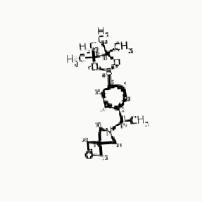 C[C@H](c1ccc(B2OC(C)(C)C(C)(C)O2)cc1)N1CC2(COC2)C1